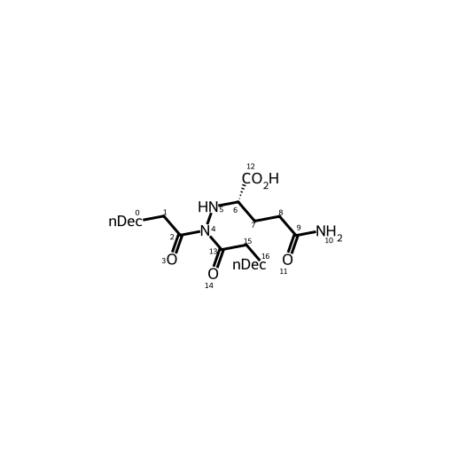 CCCCCCCCCCCC(=O)N(N[C@@H](CCC(N)=O)C(=O)O)C(=O)CCCCCCCCCCC